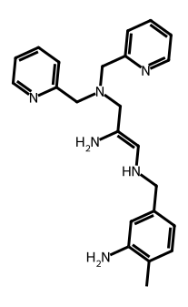 Cc1ccc(CN/C=C(\N)CN(Cc2ccccn2)Cc2ccccn2)cc1N